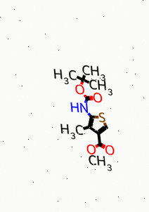 COC(=O)c1csc(NC(=O)OC(C)(C)C)c1C